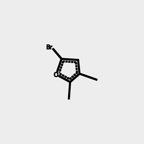 Cc1cc(Br)oc1C